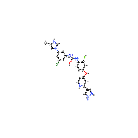 Cc1cn(-c2cc(Cl)cc(NC(=O)Nc3ccc(Oc4ccnc(-c5cn[nH]c5)c4)cc3F)c2)cn1